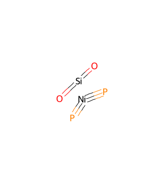 O=[Si]=O.[P]#[Ni]#[P]